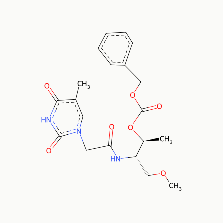 COC[C@H](NC(=O)Cn1cc(C)c(=O)[nH]c1=O)[C@H](C)OC(=O)OCc1ccccc1